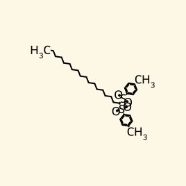 CCCCCCCCCCCCCCCCCC(S(=O)(=O)c1ccc(C)cc1)S(=O)(=O)c1ccc(C)cc1